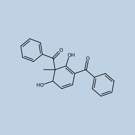 CC1(C(=O)c2ccccc2)C(O)=C(C(=O)c2ccccc2)C=CC1O